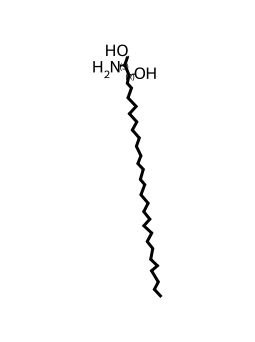 CCCCCCCCCCCCCCCCCCCCCCCCCCCC[C@@H](O)[C@@H](N)CO